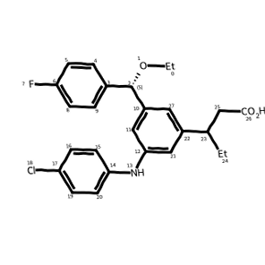 CCO[C@@H](c1ccc(F)cc1)c1cc(Nc2ccc(Cl)cc2)cc(C(CC)CC(=O)O)c1